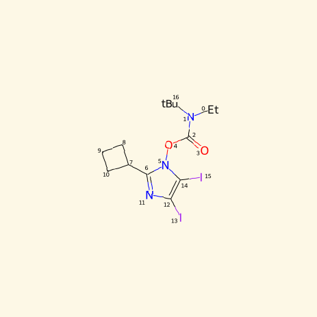 CCN(C(=O)On1c(C2CCC2)nc(I)c1I)C(C)(C)C